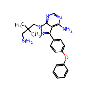 CC(C)(CN)Cn1nc(-c2ccc(Oc3ccccc3)cc2)c2c(N)ncnc21